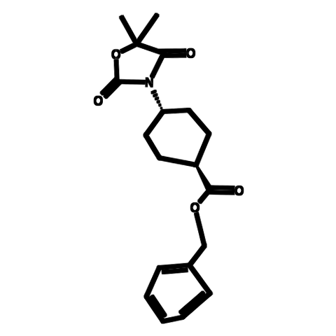 CC1(C)OC(=O)N([C@H]2CC[C@H](C(=O)OCc3ccccc3)CC2)C1=O